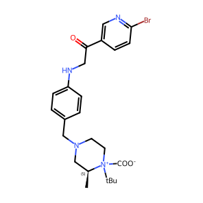 C[C@H]1CN(Cc2ccc(NCC(=O)c3ccc(Br)nc3)cc2)CC[N+]1(C(=O)[O-])C(C)(C)C